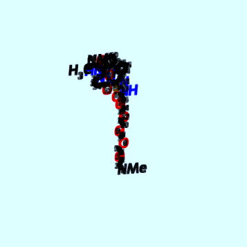 CNCCOCCOCCOCCOCCOCC(=O)Nc1nc(-c2ccccc2)c(NC(=O)[C@@H]2CCCN2C(=O)[C@@H](NC(=O)[C@H](C)NC)C2CCCCC2)s1